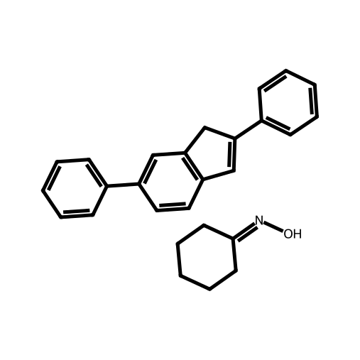 C1=C(c2ccccc2)Cc2cc(-c3ccccc3)ccc21.ON=C1CCCCC1